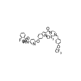 Cn1c(C(=O)N2CCN(Cc3ccc(OCC(F)(F)F)cc3)CC2)cc2ccc(Oc3ccc(NS(=O)(=O)c4ccccc4F)cn3)cc21